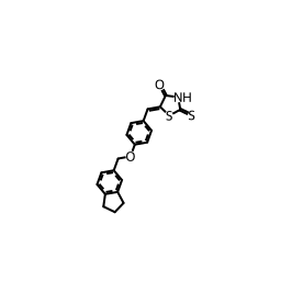 O=C1NC(=S)S/C1=C\c1ccc(OCc2ccc3c(c2)CCC3)cc1